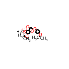 COc1c(OC(C)C)cc2oc(Oc3ccc(OC(C)C)cc3)cc(=O)c2c1O